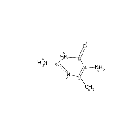 Cc1nc(N)[nH]c(=O)c1N